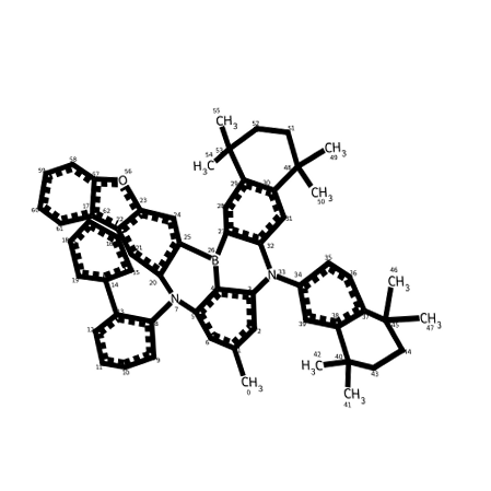 Cc1cc2c3c(c1)N(c1ccccc1-c1ccccc1)c1cc4c(cc1B3c1cc3c(cc1N2c1ccc2c(c1)C(C)(C)CCC2(C)C)C(C)(C)CCC3(C)C)oc1ccccc14